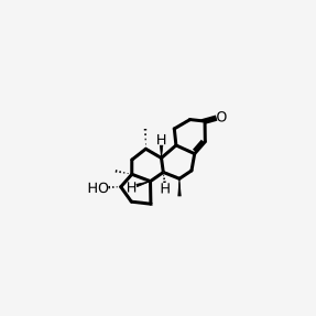 C[C@@H]1CC2=CC(=O)CCC2[C@@H]2[C@@H]1[C@@H]1CC[C@H](O)[C@@]1(C)C[C@@H]2C